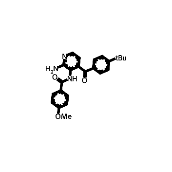 COc1ccc(C(=O)Nc2c(C(=O)c3ccc(C(C)(C)C)cc3)ccnc2N)cc1